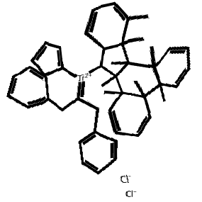 CC1=CC=CC2[CH]([Ti+2]([C]3=CC=CC3)=[C](Cc3ccccc3)Cc3ccccc3)C3(C)C4(C)C=CC=CC4(C)C4(C)C=CC=CC4(C)C3(C)C12C.[Cl-].[Cl-]